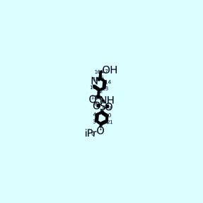 CC(C)Oc1ccc(S(=O)(=O)NC(=O)c2ccc(CO)nc2)cc1